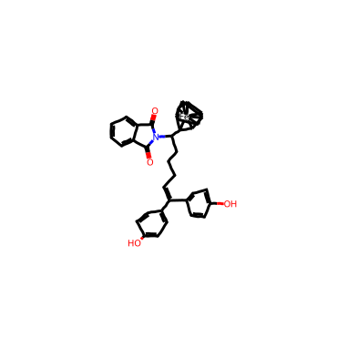 O=C1c2ccccc2C(=O)N1C(CCCC=C(c1ccc(O)cc1)c1ccc(O)cc1)[C]12[CH]3[CH]4[CH]5[CH]1[Fe]45321678[CH]2[CH]1[CH]6[CH]7[CH]28